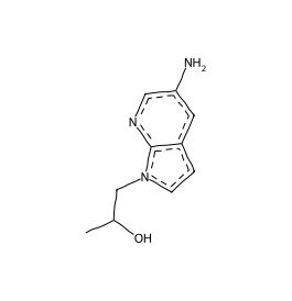 CC(O)Cn1ccc2cc(N)cnc21